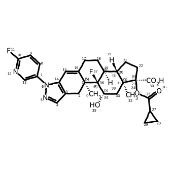 C[C@]12Cc3cnn(-c4ccc(F)nc4)c3C=C1CC[C@H]1[C@@H]3CC[C@](OC(=O)C4CC4)(C(=O)O)[C@@]3(C)C[C@H](O)[C@@]12F